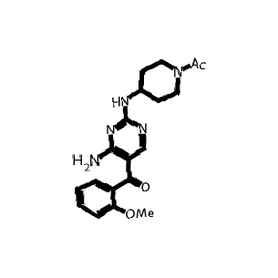 COc1ccccc1C(=O)c1cnc(NC2CCN(C(C)=O)CC2)nc1N